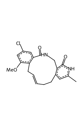 COc1cc(Cl)cc2c1C/C=C/CCc1cc(C)[nH]c(=O)c1CNC2=O